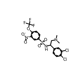 CN(C)CC(NS(=O)(=O)c1ccc(OC(F)(F)F)c([N+](=O)[O-])c1)c1ccc(Cl)c(Cl)c1